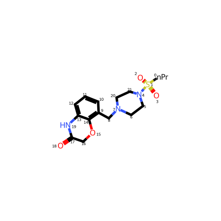 CCCS(=O)(=O)N1CCN(Cc2cccc3c2OCC(=O)N3)CC1